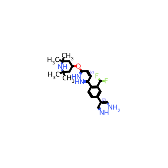 CC1(C)CC(OC(=N)/C=C\C(=N)c2ccc(/C(C=N)=C/N)cc2C(F)F)CC(C)(C)N1